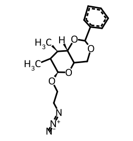 CC1[C@H](OCCN=[N+]=[N-])OC2COC(c3ccccc3)O[C@H]2[C@@H]1C